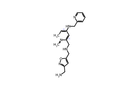 C=N/C(=C\C(=C/C)NCc1ccccn1)CNCc1cc(CN)no1